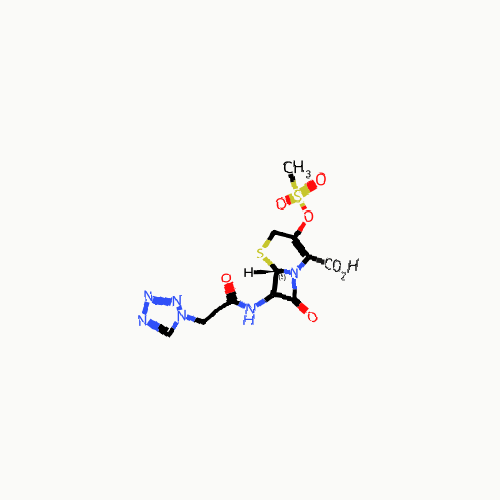 CS(=O)(=O)OC1=C(C(=O)O)N2C(=O)C(NC(=O)Cn3cnnn3)[C@@H]2SC1